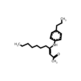 CCCCCCC/C(=C/C(C)=O)Nc1ccc(CCC)cc1